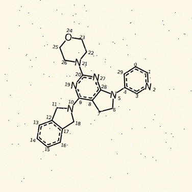 c1cncc(N2CCc3c(N4Cc5ccccc5C4)nc(N4CCOCC4)nc32)c1